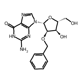 Nc1nc2c(ncn2[C@@H]2O[C@H](CO)[C@@H](O)[C@H]2OCc2ccccc2)c(=O)[nH]1